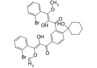 COC(=C(O)C(=O)c1ccc(C2(O)CCCCC2)c(C(=O)C(O)=C(OC)c2ccccc2Br)c1)c1ccccc1Br